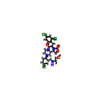 COCC(C)NCc1cc(Cl)ccc1N1CCN(C(=O)C(Cc2ccc(Cl)cc2Cl)N2CCOC2=O)CC1